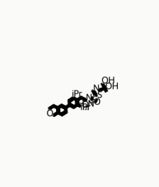 CC(C)c1cc(-c2ccc3c(c2)CCOC3)cc(C(C)C)c1CC(=O)N=S(N)(=O)c1cnc(C(C)(O)CO)s1